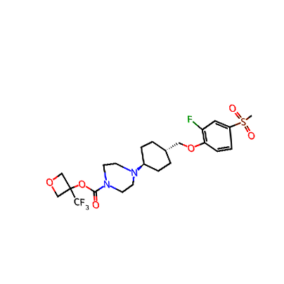 CS(=O)(=O)c1ccc(OC[C@H]2CC[C@H](N3CCN(C(=O)OC4(C(F)(F)F)COC4)CC3)CC2)c(F)c1